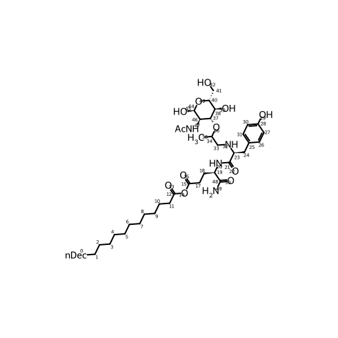 CCCCCCCCCCCCCCCCCCCCCC(=O)OC(=O)CC[C@@H](NC(=O)[C@H](Cc1ccc(O)cc1)NCC(C)O[C@H]1[C@H](O)[C@@H](CO)O[C@H](O)[C@@H]1NC(C)=O)C(N)=O